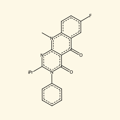 CC(C)c1nc2c(c(=O)c3cc(F)ccc3n2C)c(=O)n1-c1ccccc1